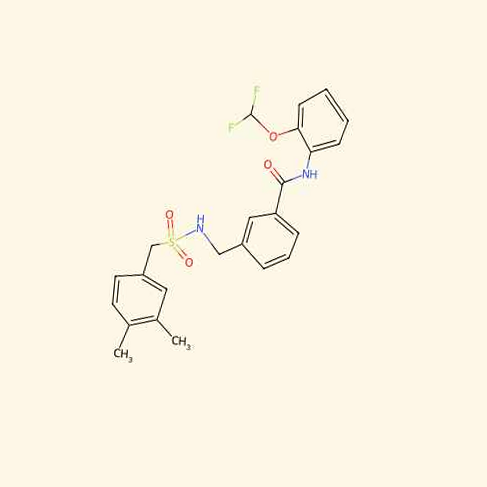 Cc1ccc(CS(=O)(=O)NCc2cccc(C(=O)Nc3ccccc3OC(F)F)c2)cc1C